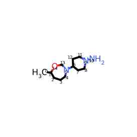 CC1CCCN(C2CCN(N)CC2)CO1